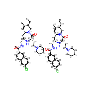 C=C(C)C(CC)CN1CC[C@@H](CNC(=O)c2ccc3cc(Cl)ccc3c2)N[C@@H](CCN2CCCCC2)C1=O.C=C(C)C(CC)CN1CC[C@@H](CNC(=O)c2ccc3cc(Cl)ccc3c2)N[C@@H](CCN2CCCCC2)C1=O